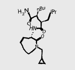 CCCC[C@H](C(N)=O)[C@@H](CC(C)C)C(=O)N[C@H]1CCCCN(CC2CC2)C1=O